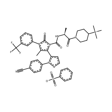 Cc1c(-c2ccnn2-c2ccc(C#N)cc2)n(C(=O)N[C@@H](C)C(=O)N2CCC([N+](C)(C)C)CC2)c(=O)n1-c1cccc(C(F)(F)F)c1.O=S(=O)([O-])c1ccccc1